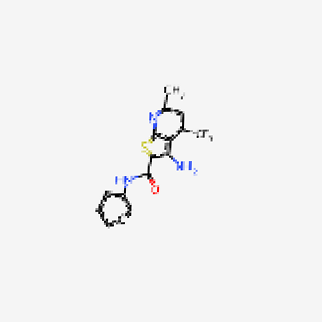 Cc1cc(C(F)(F)F)c2c(N)c(C(=O)Nc3ccccc3)sc2n1